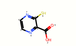 O=C(O)c1nccnc1S